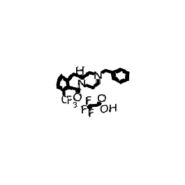 O=C(O)C(F)(F)F.O=C1c2c(cccc2C(F)(F)F)C[C@@H]2CN(Cc3ccccc3)CCN12